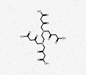 O=C(O)CC(=O)CN(CCN(CC(=O)CC(=O)O)CC(=O)CC(=O)O)CC(=O)CC(=O)O